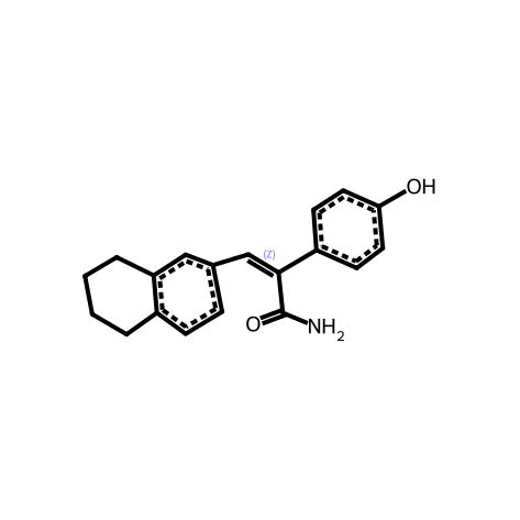 NC(=O)/C(=C\c1ccc2c(c1)CCCC2)c1ccc(O)cc1